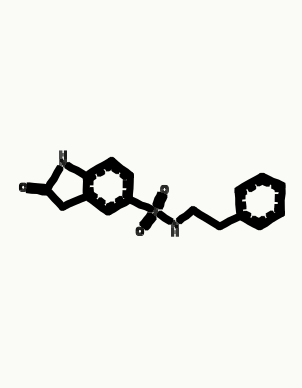 O=C1Cc2cc(S(=O)(=O)NCCc3ccccc3)ccc2N1